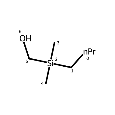 CCCC[Si](C)(C)CO